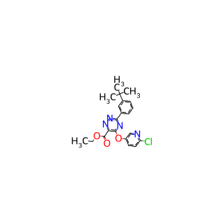 CCOC(=O)c1nnc(-c2cccc(C(C)(C)C)c2)nc1Oc1ccc(Cl)nc1